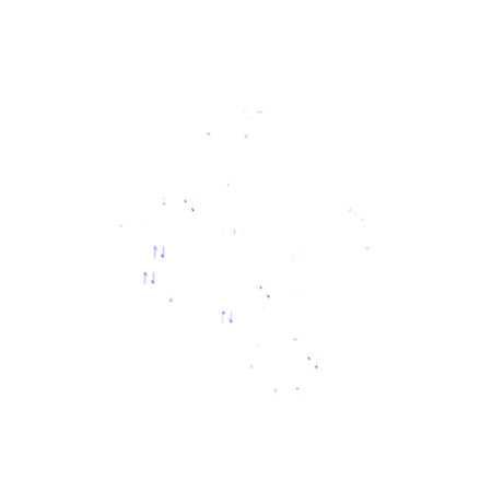 Cc1c(-c2cnn3c2C(=O)N(c2ccc(C(F)(F)F)cc2)CC3C)nc(-c2cccnc2)n1COCCS(C)(C)C